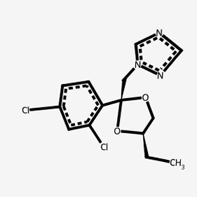 CC[C@@H]1CO[C@@](Cn2cncn2)(c2ccc(Cl)cc2Cl)O1